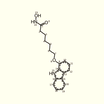 O=C(CCCCCCOc1cccc2c1[nH]c1ccccc12)NO